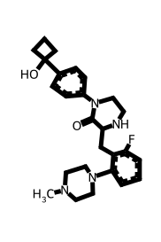 CN1CCN(c2cccc(F)c2CC2NCCN(c3ccc(C4(O)CCC4)cc3)C2=O)CC1